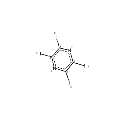 Ic1nc(I)c(I)nc1I